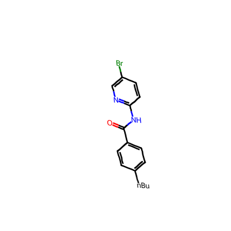 CCCCc1ccc(C(=O)Nc2ccc(Br)cn2)cc1